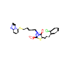 O=C1S/C(=C/CCc2ccccc2Cl)C(=O)N1CCCCSc1cccc2nccn12